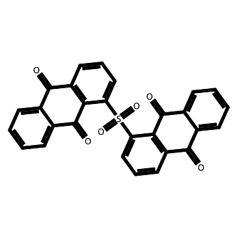 O=C1c2ccccc2C(=O)c2c1cccc2S(=O)(=O)c1cccc2c1C(=O)c1ccccc1C2=O